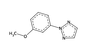 COc1cccc(-n2nccn2)c1